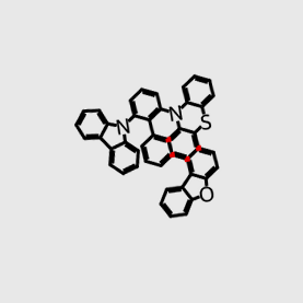 c1cc(-c2c(N3c4ccccc4Sc4ccccc43)cccc2-n2c3ccccc3c3ccccc32)cc(-c2cccc3oc4ccccc4c23)c1